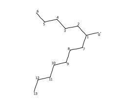 [CH2]C(CCCCC)CCCCCCC